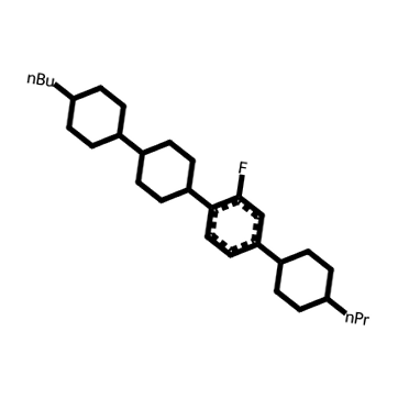 CCCCC1CCC(C2CCC(c3ccc(C4CCC(CCC)CC4)cc3F)CC2)CC1